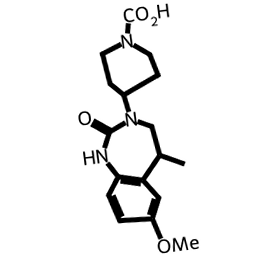 COc1ccc2c(c1)C(C)CN(C1CCN(C(=O)O)CC1)C(=O)N2